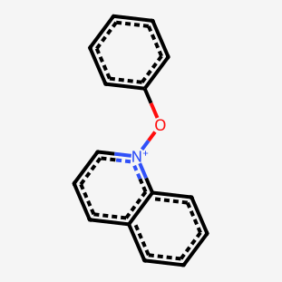 c1ccc(O[n+]2cccc3ccccc32)cc1